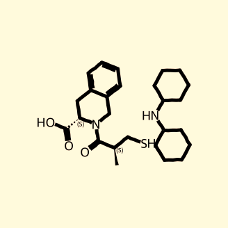 C1CCC(NC2CCCCC2)CC1.C[C@H](CS)C(=O)N1Cc2ccccc2C[C@H]1C(=O)O